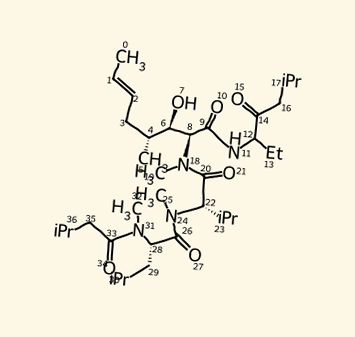 C/C=C/C[C@@H](C)[C@@H](O)[C@@H](C(=O)NC(CC)C(=O)CC(C)C)N(C)C(=O)[C@H](C(C)C)N(C)C(=O)[C@H](CC(C)C)N(C)C(=O)CC(C)C